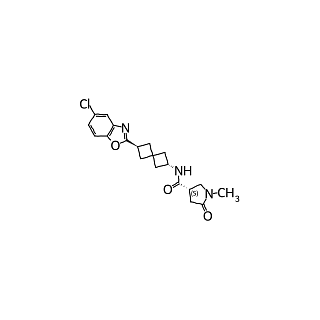 CN1C[C@@H](C(=O)N[C@H]2CC3(C2)C[C@H](c2nc4cc(Cl)ccc4o2)C3)CC1=O